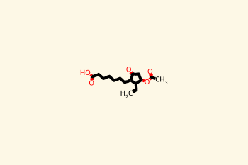 C=CC1C(OC(C)=O)CC(=O)C1CCCCCCC(=O)O